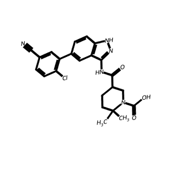 CC1(C)CCC(C(=O)Nc2n[nH]c3ccc(-c4cc(C#N)ccc4Cl)cc23)CN1C(=O)O